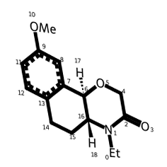 CCN1C(=O)CO[C@@H]2c3cc(OC)ccc3CC[C@H]21